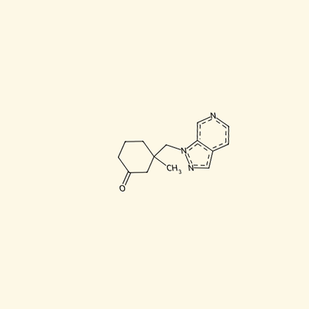 CC1(Cn2ncc3ccncc32)CCCC(=O)C1